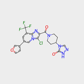 O=C(c1nc2c(C(F)(F)F)cc(-c3ccoc3)cn2c1Cl)N1CCC(n2cn[nH]c2=O)CC1